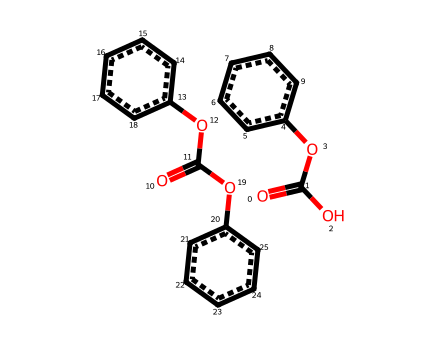 O=C(O)Oc1ccccc1.O=C(Oc1ccccc1)Oc1ccccc1